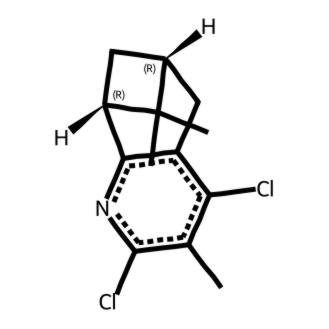 Cc1c(Cl)nc2c(c1Cl)C[C@H]1C[C@@H]2C1(C)C